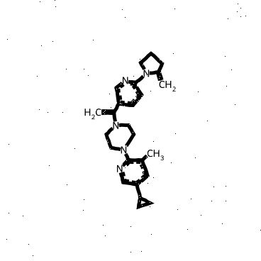 C=C(c1ccc(N2CCCC2=C)nc1)N1CCN(c2ncc(C3CC3)cc2C)CC1